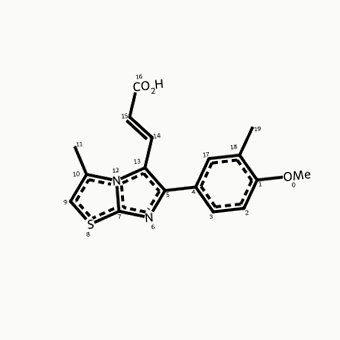 COc1ccc(-c2nc3scc(C)n3c2/C=C/C(=O)O)cc1C